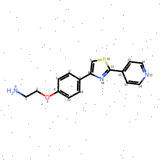 NCCOc1ccc(-c2csc(-c3ccncc3)n2)cc1